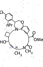 CCCc1cc(Cl)ccc1C1COc2ccc3cc2N(C1)CC1CCC1C(O)/C=C\[C@@H](C)CN(C)C(=O)CC3C(=O)OC